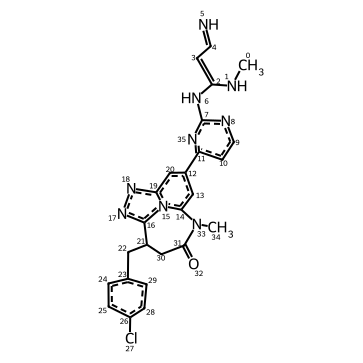 CN/C(=C\C=N)Nc1nccc(-c2cc3n4c(nnc4c2)C(Cc2ccc(Cl)cc2)CC(=O)N3C)n1